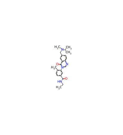 CCNC(=O)c1ccc(C)c(-n2cnc3ccc(CN(C)C(C)C)cc3c2=O)c1